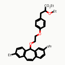 CCCc1ccc2c(c1)C(OCCOc1ccc(CC(OCC)C(=O)OCC)cc1)c1ccc(CC)cc1C=C2